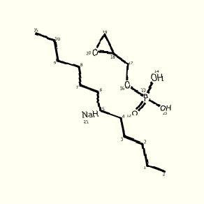 CCCCCCCCCCCC.O=P(O)(O)OCC1CO1.[NaH]